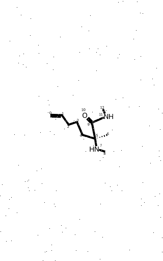 C=CCCC[C@](C)(NC)C(=O)NC